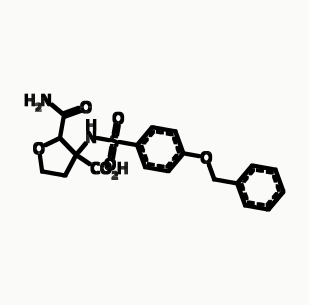 NC(=O)C1OCCC1(NS(=O)(=O)c1ccc(OCc2ccccc2)cc1)C(=O)O